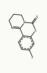 Fc1ccc2c(c1)SC(=S)N1CCCN=C21